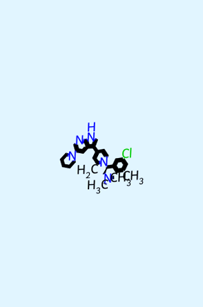 C=C1C=C(c2c[nH]c3ncc(N4CCCCC4)cc23)C=CN1[C@H](CN(C)C)c1cc(C)cc(Cl)c1